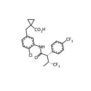 C[C@H]([C@H](C(=O)Nc1cc(CC2(C(=O)O)CC2)ccc1Cl)c1ccc(C(F)(F)F)cc1)C(F)(F)F